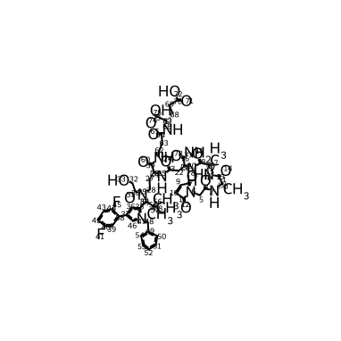 C[C@H](NC(=O)CN1C(=O)C=CC1=O)C(=O)N[C@@H](C)C(=O)N[C@@H](CC(=O)N[C@@H](CCN(C(=O)CO)[C@@H](c1cc(-c2cc(F)ccc2F)cn1Cc1ccccc1)C(C)(C)C)C(=O)NCCC(=O)N[C@@H](CCC(=O)O)C(=O)O)C(N)=O